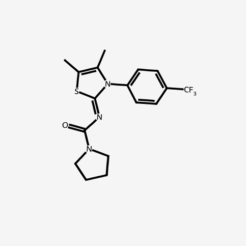 Cc1s/c(=N\C(=O)N2CCCC2)n(-c2ccc(C(F)(F)F)cc2)c1C